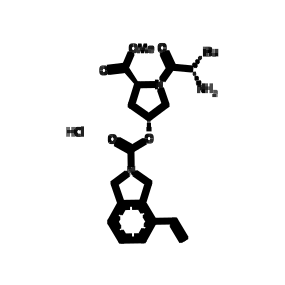 C=Cc1cccc2c1CN(C(=O)O[C@@H]1C[C@@H](C(=O)OC)N(C(=O)[C@@H](N)[C@@H](C)CC)C1)C2.Cl